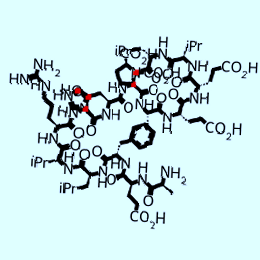 CC(C)C[C@H](NC(=O)[C@H](Cc1ccccc1)NC(=O)[C@H](CCC(=O)O)NC(=O)[C@H](C)N)C(=O)N[C@H](C(=O)N[C@@H](CCCNC(=N)N)C(=O)N[C@@H](CO)C(=O)N[C@@H](Cc1c[nH]cn1)C(=O)N[C@@H](CC(=O)O)C(=O)N[C@@H](C)C(=O)N[C@@H](CCC(=O)O)C(=O)N[C@@H](CCC(=O)O)C(=O)N[C@H](C(=O)N[C@@H](CC(C)C)C(=O)N1CCC[C@H]1C(=O)O)C(C)C)C(C)C